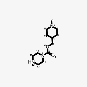 CN1CCC(COC(=O)N2CCNCC2)CC1